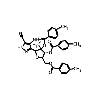 Cc1ccc(C(=O)OCC2OC(c3n[nH]c(C#N)c3N)[C@](C)(OC(=O)c3ccc(C)cc3)[C@@H]2OC(=O)c2ccc(C)cc2)cc1